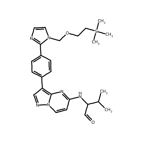 CC(C)C(C=O)Nc1ccn2ncc(-c3ccc(-c4nccn4COCC[Si](C)(C)C)cc3)c2n1